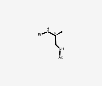 CCN[C@@H](C)CNC(C)=O